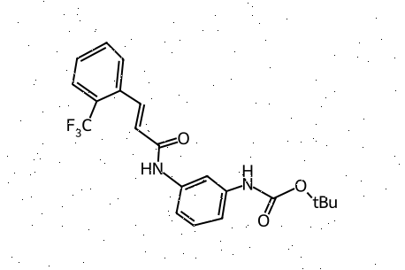 CC(C)(C)OC(=O)Nc1cccc(NC(=O)/C=C/c2ccccc2C(F)(F)F)c1